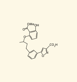 COC(=O)c1c(O)cccc1OC(C)CCc1cccc(-c2cc(C(=O)O)no2)c1